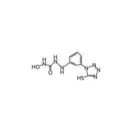 O=C(NO)NNc1cccc(-n2nnnc2S)c1